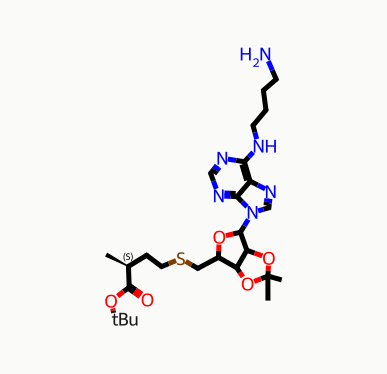 C[C@@H](CCSCC1OC(n2cnc3c(NCCCCN)ncnc32)C2OC(C)(C)OC12)C(=O)OC(C)(C)C